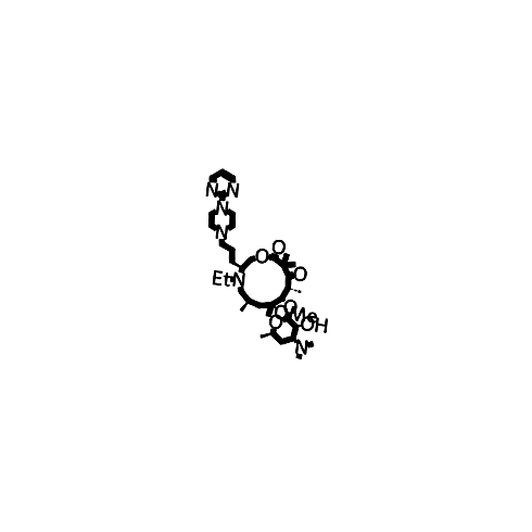 CCN1C[C@H](C)C[C@@](C)(OC)[C@H](O[C@@H]2O[C@H](C)C[C@H](N(C)C)[C@H]2O)[C@@H](C)C(=O)C(C)(C)C(=O)OC[C@@H]1CCCN1CCN(c2ncccn2)CC1